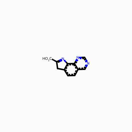 O=C(O)C1=Nc2c(ccc3cncnc23)C1